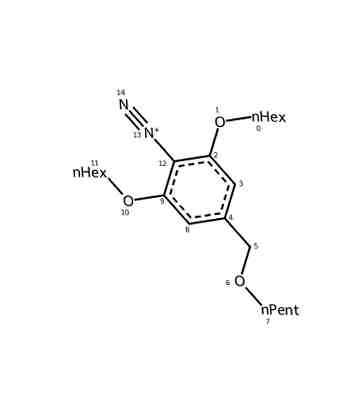 CCCCCCOc1cc(COCCCCC)cc(OCCCCCC)c1[N+]#N